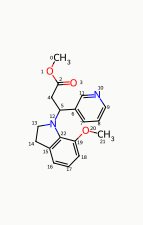 COC(=O)CC(c1cccnc1)N1CCc2cccc(OC)c21